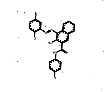 Cc1ccc(NC(=O)c2cc3ccccc3c(/N=N/c3cc(Cl)ccc3Cl)c2O)cc1